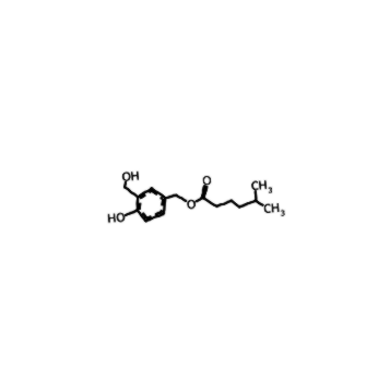 CC(C)CCCC(=O)OCc1ccc(O)c(CO)c1